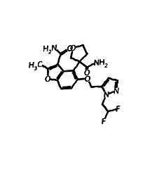 Cc1oc2ccc(OCc3ccnn3CC(F)F)c(C3(C(N)=O)CCOC3)c2c1C(N)=O